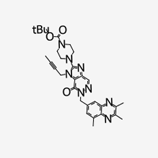 CC#CCn1c(N2CCN(C(=O)OC(C)(C)C)CC2)nc2cnn(Cc3cc(C)c4nc(C)c(C)nc4c3)c(=O)c21